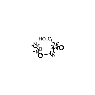 Cc1cc(C(=O)Nc2cccc(C#Cc3cncc(C(=O)N=[S@](=O)(CCCCC(=O)O)c4ccccc4)c3)c2)n(C)n1